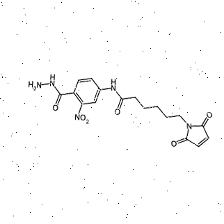 NNC(=O)c1ccc(NC(=O)CCCCCN2C(=O)C=CC2=O)cc1[N+](=O)[O-]